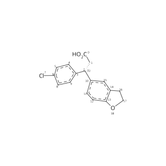 O=C(O)C[C@@H](c1ccc(Cl)cc1)c1ccc2c(c1)CCO2